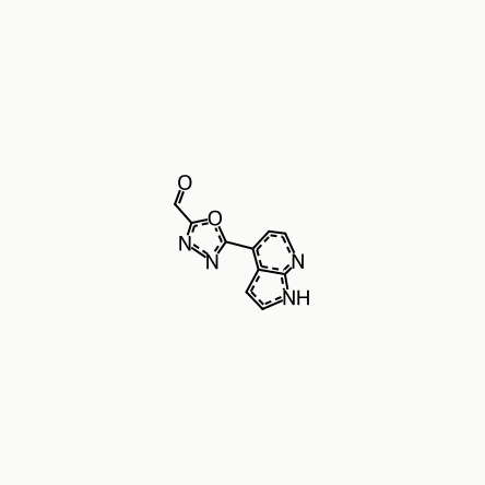 O=Cc1nnc(-c2ccnc3[nH]ccc23)o1